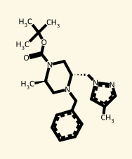 Cc1cnn(C[C@H]2CN(C(=O)OC(C)(C)C)[C@H](C)CN2Cc2ccccc2)c1